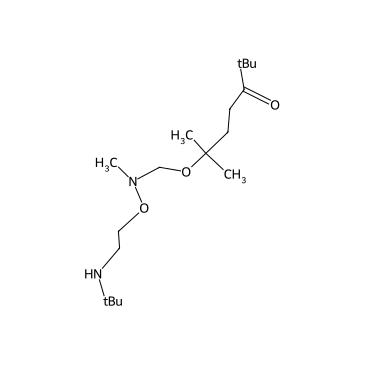 CN(COC(C)(C)CCC(=O)C(C)(C)C)OCCNC(C)(C)C